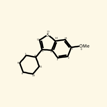 COc1ccc2c(C3CCCCC3)csc2c1